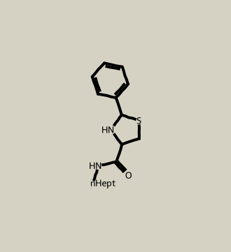 CCCCCCCNC(=O)C1CSC(c2ccccc2)N1